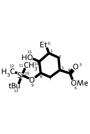 CCC1CC(C(=O)OC)CC(O[Si](C)(C)C(C)(C)C)C1O